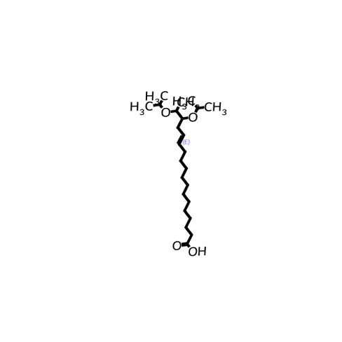 CC(C)OC(C)C(C/C=C/CCCCCCCCCCCC(=O)O)OC(C)C